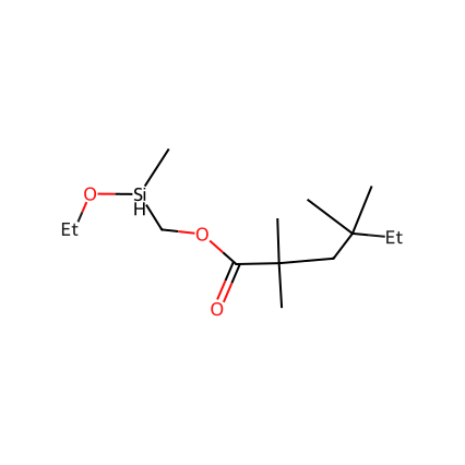 CCO[SiH](C)COC(=O)C(C)(C)CC(C)(C)CC